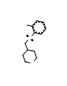 O=S(=O)(CC1CCOCC1)c1ccccc1F